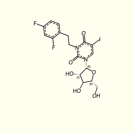 O=c1c(I)cn([C@@H]2O[C@H](CO)C(O)[C@@H]2O)c(=O)n1CCc1ccc(F)cc1F